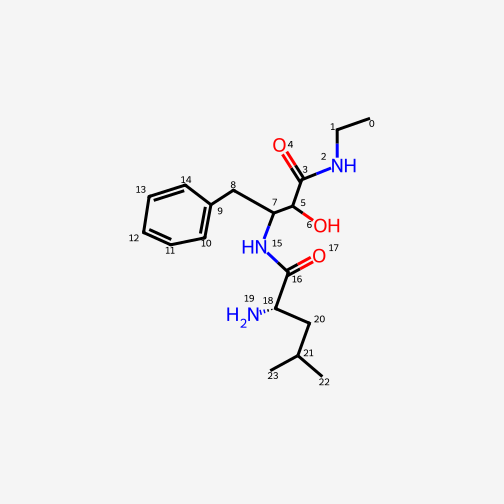 CCNC(=O)C(O)C(Cc1ccccc1)NC(=O)[C@@H](N)CC(C)C